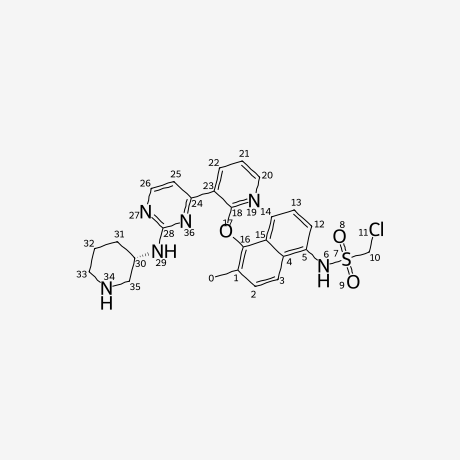 Cc1ccc2c(NS(=O)(=O)CCl)cccc2c1Oc1ncccc1-c1ccnc(N[C@H]2CCCNC2)n1